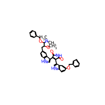 COC(Cc1ccc2[nH]cc(C3=C(c4c[nH]c5ccc(OCc6ccccc6)cc45)C(=O)NC3=O)c2c1)C(OCc1ccccc1)N(C)C